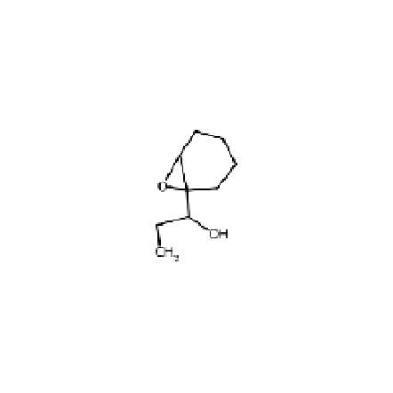 CCC(O)C12CCCCC1O2